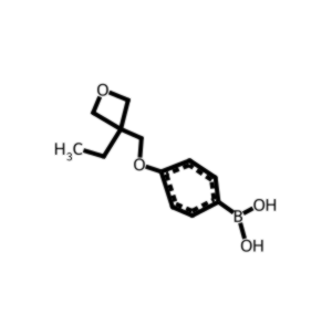 CCC1(COc2ccc(B(O)O)cc2)COC1